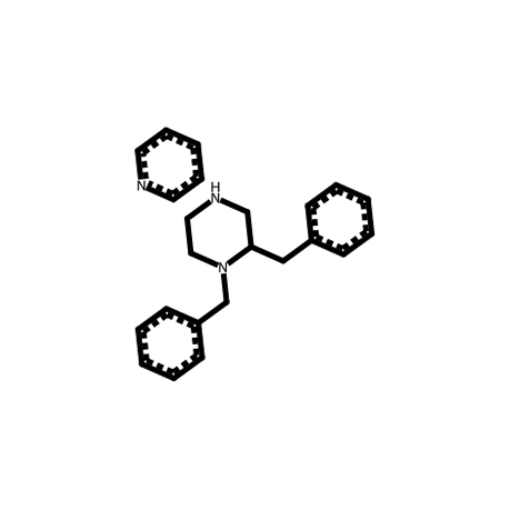 c1ccc(CC2CNCCN2Cc2ccccc2)cc1.c1ccncc1